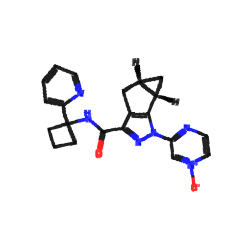 O=C(NC1(c2ccccn2)CCC1)c1nn(-c2c[n+]([O-])ccn2)c2c1C[C@@H]1C[C@H]21